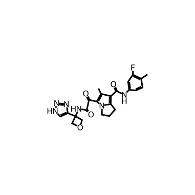 Cc1ccc(NC(=O)c2c(C)c(C(=O)C(=O)NC3(c4c[nH]nn4)COC3)n3c2CCC3)cc1F